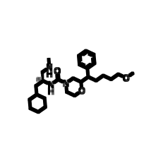 CNC[C@H](CC1CCCCC1)NC(=O)N1CCOC(C(CCCCOC)c2ccccc2)C1